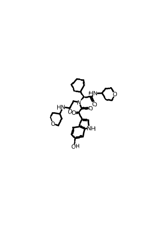 O=C(CN(C(=O)C(=O)c1c[nH]c2cc(O)ccc12)C(C(=O)NC1CCOCC1)C1CCCCC1)NC1CCOCC1